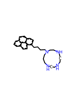 c1cc2ccc3ccc(CCCCN4CCCNCCNCCCNCC4)c4ccc(c1)c2c34